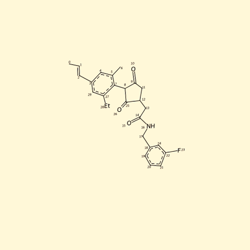 C/C=C/c1cc(C)c(C2C(=O)CC(CC(=O)NCc3cccc(F)c3)C2=O)c(CC)c1